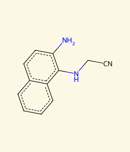 N#CCNc1c(N)ccc2ccccc12